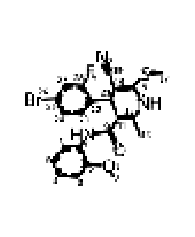 COc1ccccc1NC(=O)C1=C(C)NC(SC)=C(C#N)C1c1ccc(Br)cc1F